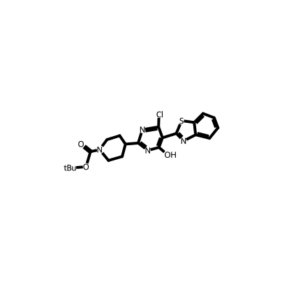 CC(C)(C)OC(=O)N1CCC(c2nc(O)c(-c3nc4ccccc4s3)c(Cl)n2)CC1